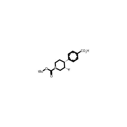 CC(C)(C)OC(=O)N1CC[C@H](c2ccc(C(=O)O)cc2)[C@H](F)C1